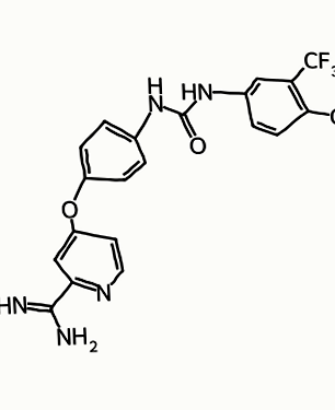 N=C(N)c1cc(Oc2ccc(NC(=O)Nc3ccc(Cl)c(C(F)(F)F)c3)cc2)ccn1